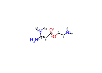 CN(C)CCOC(=O)C=C(N)N(C)C